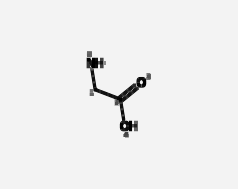 [NH]CC(=O)O